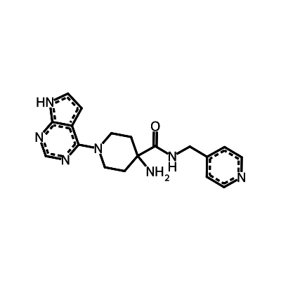 NC1(C(=O)NCc2ccncc2)CCN(c2ncnc3[nH]ccc23)CC1